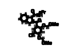 CCCNC(=O)C1c2ccccc2CN1C(=O)c1cc(Cl)c(OCOC)cc1OCOC